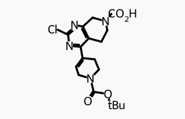 CC(C)(C)OC(=O)N1CC=C(c2nc(Cl)nc3c2CCN(C(=O)O)C3)CC1